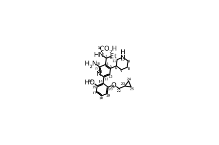 CCC(NC(=O)O)c1c(C2CCCNC2)cc(-c2c(O)cccc2OCC2CC2)nc1N